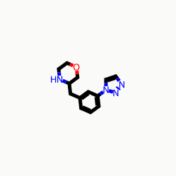 c1cc(CC2COCCN2)cc(-n2ccnn2)c1